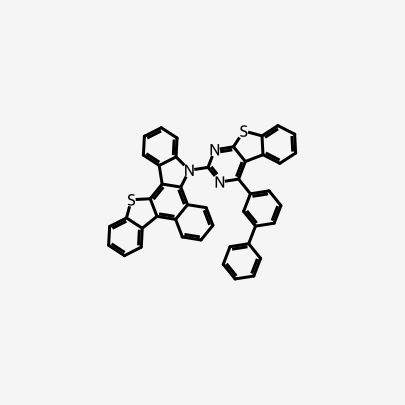 c1ccc(-c2cccc(-c3nc(-n4c5ccccc5c5c6sc7ccccc7c6c6ccccc6c54)nc4sc5ccccc5c34)c2)cc1